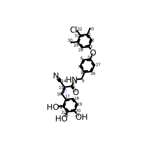 Cc1cc(Oc2ccc(CNC(=O)/C(C#N)=C\c3ccc(O)c(O)c3O)cc2)cc(C)c1Cl